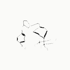 Nc1ccc(OC2CCN(Cc3ccc(C(O)(C(F)(F)F)C(F)(F)F)cc3)C2)cc1